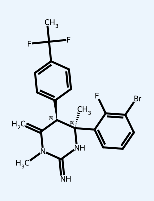 C=C1[C@@H](c2ccc(C(C)(F)F)cc2)[C@@](C)(c2cccc(Br)c2F)NC(=N)N1C